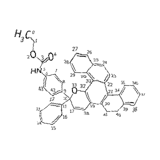 CCOC(=O)Nc1ccc(C2(c3ccccc3)C=Cc3c4c(c5ccc6ccccc6c5c3O2)-c2ccccc2CC4)cc1